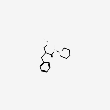 CC(=O)SCC(Cc1ccccc1)C(=O)NN1CCCCC1